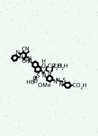 COc1cc(N=Nc2c(SOOO)cc3cc(N=Nc4c(C)c(C#N)c5nc6ccccc6n5c4O)ccc3c2O)c(N(CCC(=O)O)CCC(=O)O)cc1N=Nc1nc2ccc(C(=O)O)cc2s1